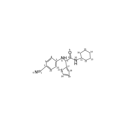 N#Cc1ccc(NC(C(=O)NC2CCCCC2)c2cccs2)cc1